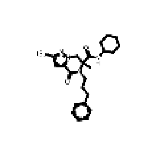 CC(C)(C)c1cc2n(n1)CC(C)(C(=O)NC1CCCCC1)N(CCCc1ccccc1)C2=O